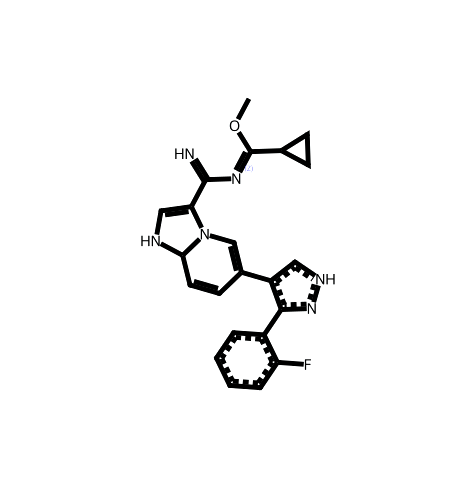 CO/C(=N\C(=N)C1=CNC2C=CC(c3c[nH]nc3-c3ccccc3F)=CN12)C1CC1